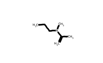 C=C(C)N(C)CCC